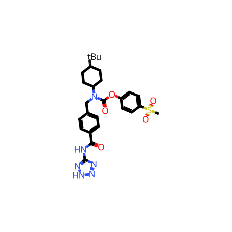 CC(C)(C)C1CCC(N(Cc2ccc(C(=O)Nc3nn[nH]n3)cc2)C(=O)Oc2ccc(S(C)(=O)=O)cc2)CC1